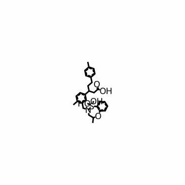 Cc1ccc(CCC(CC(=O)O)c2ccc(C)c(CN3CC(C)Oc4ccccc4S3(O)O)c2)cc1